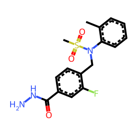 Cc1ccccc1N(Cc1ccc(C(=O)NN)cc1F)S(C)(=O)=O